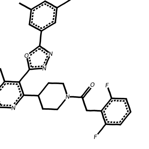 Cc1cc(C)cc(-c2nnc(-c3c(C)nc(C)nc3C3CCN(C(=O)Cc4c(F)cccc4F)CC3)o2)c1